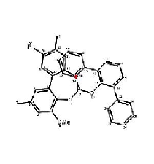 COc1cc(C)cc2c1op(Oc1c(-c3ccccc3)cccc1-c1ccccc1)oc1cc(C)c(C(C)C)cc12